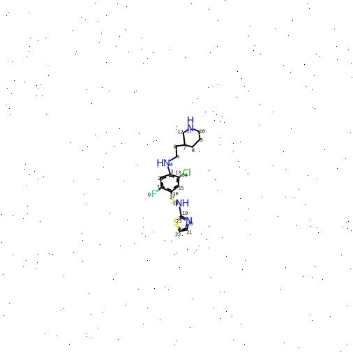 Fc1cc(NCCC2CCCNC2)c(Cl)cc1SNc1nccs1